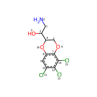 NCC(O)C1COc2c(cc(Cl)c(Cl)c2Cl)O1